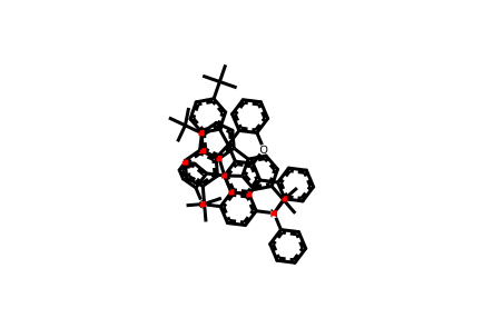 CC(C)(C)c1ccc2c(c1)C1(c3ccccc3Oc3ccc(N(c4ccccc4)c4ccccc4-c4cccc5c4Oc4ccccc4C54c5cc(C(C)(C)C)ccc5-c5ccc(C(C)(C)C)cc54)cc31)c1cc(C(C)(C)C)ccc1-2